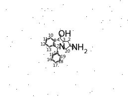 NC1CC(CO)N(C(c2ccccc2)c2ccccc2)C1